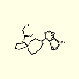 N#CCC(=O)N1CCCC12CCCCN(c1ncnc3[nH]ccc13)CC2